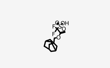 C=C(OCC12CC3CC(CC(C3)C1)C2)C(F)(F)S(=O)(=O)O